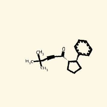 CC(C)(C)C#CC(=O)[C@H]1CCC[C@@H]1c1ccccc1